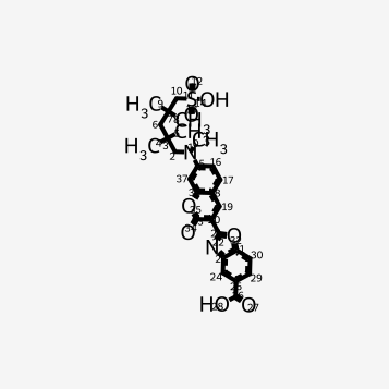 CN(CC(C)(C)CC(C)(C)CS(=O)(=O)O)c1ccc2cc(-c3nc4cc(C(=O)O)ccc4o3)c(=O)oc2c1